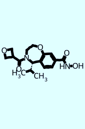 CC(C)[C@H]1c2ccc(C(=O)NO)cc2OCCN1C(=O)C1COC1